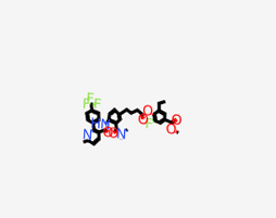 CCc1cc(C(=O)OC)cc(F)c1OC(=O)CCCc1ccc(NC(=O)c2ccc(C)nc2-c2ccc(C(F)(F)F)cc2)c(C(=O)N(C)C)c1